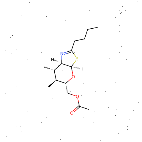 CCCCC1=N[C@@H]2[C@@H](C)[C@H](C)[C@@H](COC(C)=O)O[C@@H]2S1